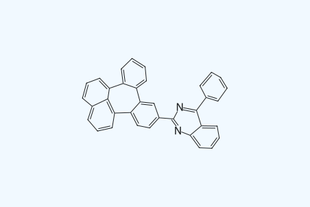 c1ccc(-c2nc(-c3ccc4c(c3)-c3ccccc3-c3cccc5cccc-4c35)nc3ccccc23)cc1